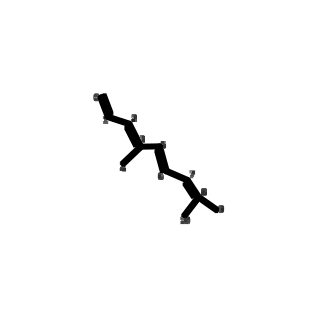 C=C/C=C(C)/C=C/C=C(C)C